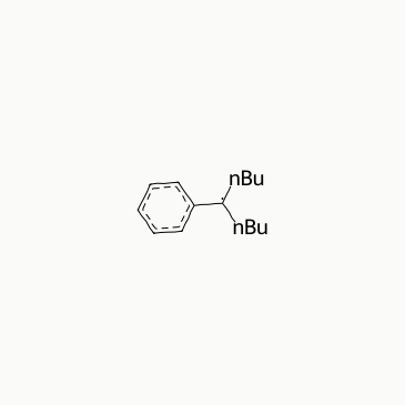 CCCC[C](CCCC)c1ccccc1